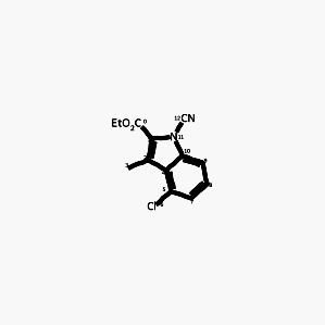 CCOC(=O)c1c(C)c2c(Cl)cccc2n1C#N